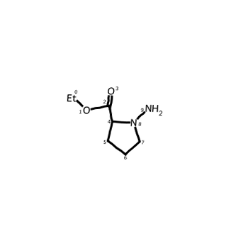 CCOC(=O)C1CCCN1N